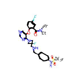 CCN(C(=O)c1cc(F)ccc1Oc1cncnc1N1CC(F)(CNC[C@H]2CC[C@H](NS(C)(=O)=O)CC2)C1)C(C)C